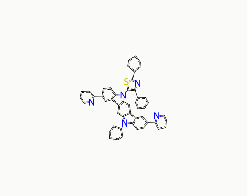 c1ccc(-c2nc(-c3ccccc3)c(-n3c4ccc(-c5ccccn5)cc4c4cc5c(cc43)c3cc(-c4ccccn4)ccc3n5-c3ccccc3)s2)cc1